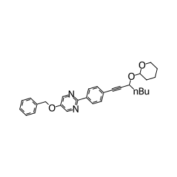 CCCCC(C#Cc1ccc(-c2ncc(OCc3ccccc3)cn2)cc1)OC1CCCCO1